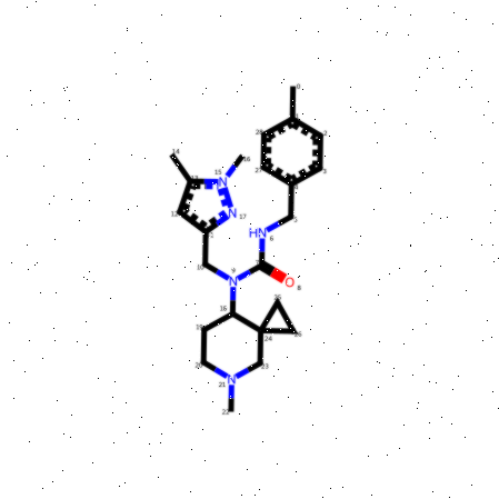 Cc1ccc(CNC(=O)N(Cc2cc(C)n(C)n2)C2CCN(C)CC23CC3)cc1